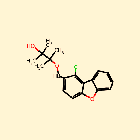 CC(C)(O)C(C)(C)OBc1ccc2oc3ccccc3c2c1Cl